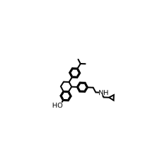 CC(C)c1ccc(C2CCc3cc(O)ccc3C2c2ccc(CCNCC3CC3)cc2)cc1